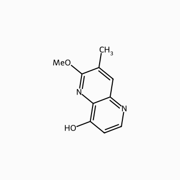 COc1nc2c(O)ccnc2cc1C